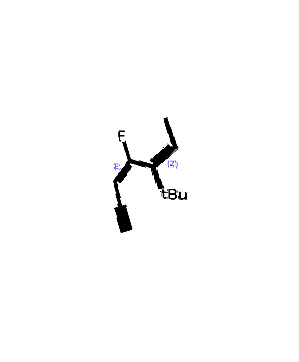 C#C/C=C(F)\C(=C/C)C(C)(C)C